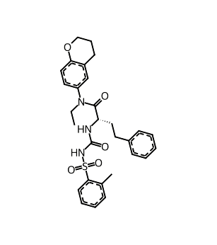 CCN(C(=O)[C@H](CCc1ccccc1)NC(=O)NS(=O)(=O)c1ccccc1C)c1ccc2c(c1)CCCO2